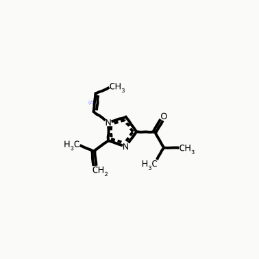 C=C(C)c1nc(C(=O)C(C)C)cn1/C=C\C